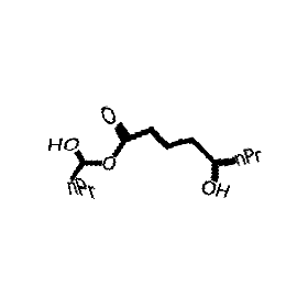 CCCC(O)CCCC(=O)OC(O)CCC